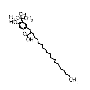 CCCCCCCCCCCCCCCCCCC(Cc1ccc(O)c(C(C)(C)C)c1)C(=O)O